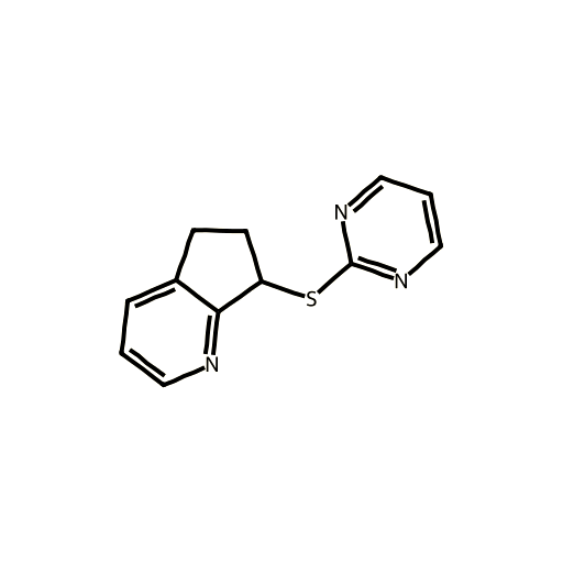 c1cnc(SC2CCc3cccnc32)nc1